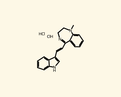 CN1CCN=C(/C=C/c2c[nH]c3ccccc23)c2ccccc21.Cl.Cl